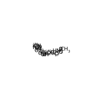 COC(=O)Nc1cccc(COc2ccc(C(=O)CC(CCn3nnc4cccnc4c3=O)C(=O)O)cc2)c1